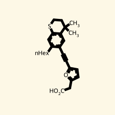 CCCCCCc1cc2c(cc1C#Cc1ccc(CC(=O)O)o1)C(C)(C)CCS2